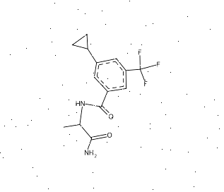 CC(NC(=O)c1cc(C2CC2)cc(C(F)(F)F)c1)C(N)=O